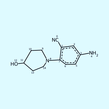 N#Cc1cc(N)ccc1N1CCC(O)CC1